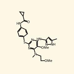 COCCN(C)c1nc(Sc2ccc(NC(=O)C3CC3)cc2)nc(Nc2cc(C)[nH]n2)c1OC